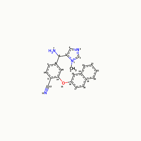 Cn1cncc1C(N)c1ccc(C#N)c(Oc2ccc3ccccc3c2)c1